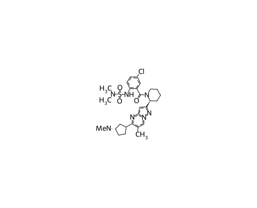 CN[C@H]1CCC(c2nc3cc([C@@H]4CCCCN4C(=O)c4cc(Cl)ccc4NS(=O)(=O)N(C)C)nn3cc2C)C1